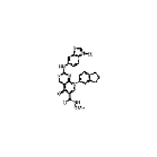 CCn1cnc2cc(Nc3ncc4c(=O)c(C(=O)NOC)cn(-c5ccc6c(c5)CCC6)c4n3)ccc21